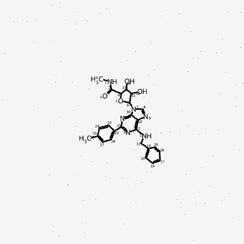 CNC(=O)C1OC(n2cnc3c(NCc4ccccc4)nc(-c4ccc(C)cc4)nc32)C(O)C1O